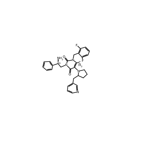 Cc1c(N2CCCC2Cc2cccnc2)c(=O)n(C[C@H](N)c2ccccc2)c(=O)n1Cc1c(F)cccc1F